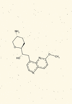 COc1ccc2nccc(C[C@H](O)[C@@H]3CC[C@@H](N)CO3)c2n1